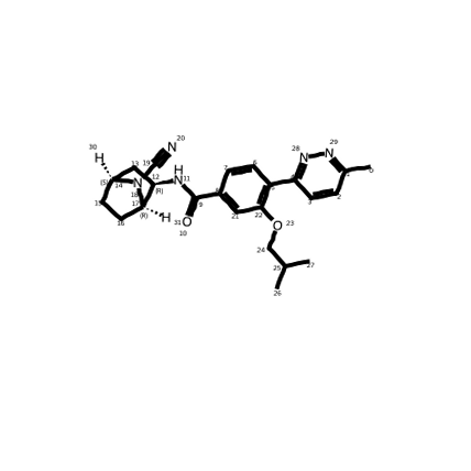 Cc1ccc(-c2ccc(C(=O)N[C@@H]3C[C@@H]4CC[C@H]3N4C#N)cc2OCC(C)C)nn1